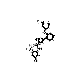 C=C/C=C(\C=C/C)Oc1ccccc1-c1cc(C(=C)N[C@H]2CN(C#N)C[C@H]2C)[nH]n1